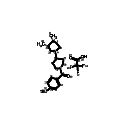 C[C@@H]1CCN(C2CCN(C(=O)c3ccc(C(C)(C)C)cc3)CC2)C[C@@H]1C.O=C(O)C(F)(F)F